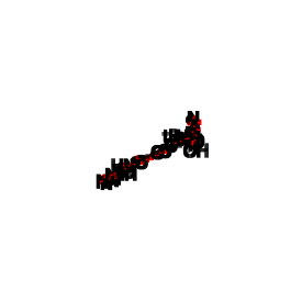 Cc1ncsc1-c1ccc(CNC(=O)[C@@H]2C[C@@H](O)CN2C(=O)[C@@H](NC(=O)CCCOCCOCCOCCCCCCOc2cccc(CNC(=O)c3cccc(NCc4nnc(-c5ccncn5)n4C)c3)c2)C(C)(C)C)cc1